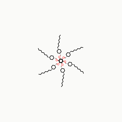 CCCCCCCC[C@H]1CC[C@H](COc2c(OC[C@H]3CC[C@H](CCCCCCCC)CC3)c(OC[C@H]3CC[C@H](CCCCCCCC)CC3)c(OC[C@H]3CC[C@H](CCCCCCCC)CC3)c(OC[C@H]3CC[C@H](CCCCCCCC)CC3)c2OC[C@H]2CC[C@H](CCCCCCCC)CC2)CC1